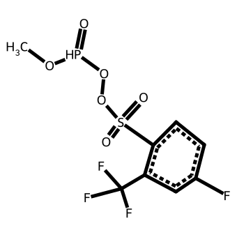 CO[PH](=O)OOS(=O)(=O)c1ccc(F)cc1C(F)(F)F